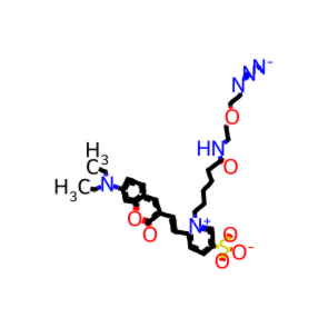 CCN(CC)c1ccc2cc(C=Cc3ccc(S(=O)(=O)[O-])c[n+]3CCCCCC(=O)NCCOCCN=[N+]=[N-])c(=O)oc2c1